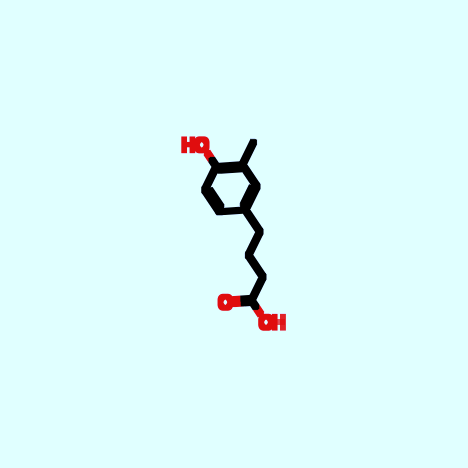 Cc1cc(CCCC(=O)O)ccc1O